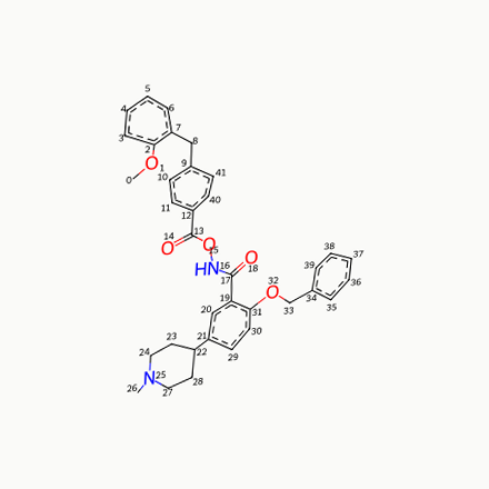 COc1ccccc1Cc1ccc(C(=O)ONC(=O)c2cc(C3CCN(C)CC3)ccc2OCc2ccccc2)cc1